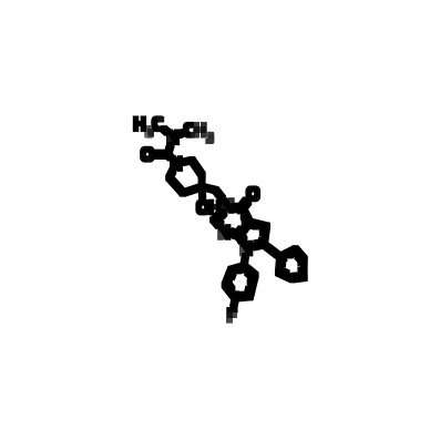 CN(C)C(=O)N1CCC(O)(Cn2cnc3c(cc(-c4ccccc4)n3-c3ccc(F)cc3)c2=O)CC1